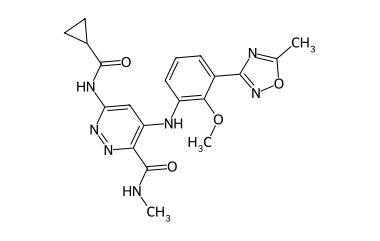 CNC(=O)c1nnc(NC(=O)C2CC2)cc1Nc1cccc(-c2noc(C)n2)c1OC